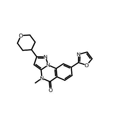 Cn1c(=O)c2ccc(-c3ncco3)cc2n2nc(C3CCOCC3)cc12